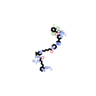 C[C@@H](Oc1cc(-c2cnn(C3CCN(C(=O)CCCCCN4C[C@H](NC(=O)[C@@H](N)CCCc5cccnc5N)C5(CC5)C4)CC3)c2)cnc1N)c1c(Cl)ccc(F)c1Cl